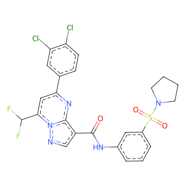 O=C(Nc1cccc(S(=O)(=O)N2CCCC2)c1)c1cnn2c(C(F)F)cc(-c3ccc(Cl)c(Cl)c3)nc12